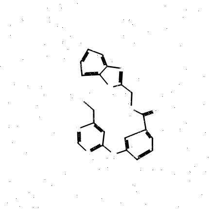 Cl.NCc1cc(Oc2cccc(C(=O)NCc3nc4ccccc4o3)c2)ncn1